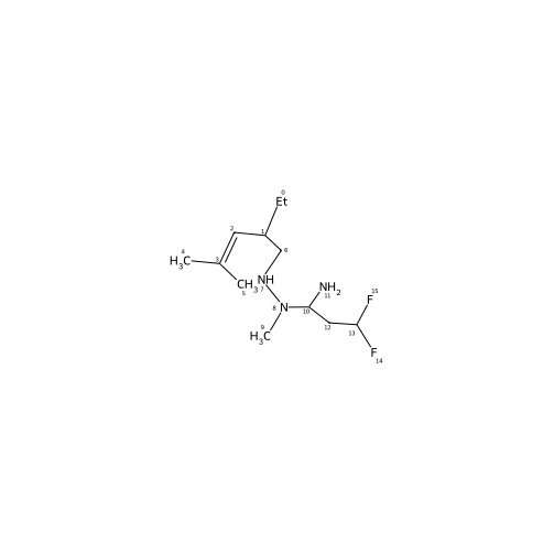 CCC(C=C(C)C)CNN(C)C(N)CC(F)F